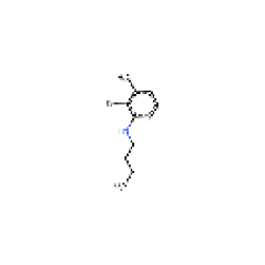 CCc1c(C)cccc1NCCCS(=O)(=O)O